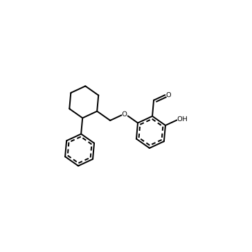 O=Cc1c(O)cccc1OCC1CCCCC1c1ccccc1